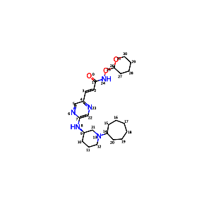 O=C(C=Cc1cnc(N[C@@H]2CCCN(C3CCCCCC3)C2)cn1)NOC1CCCCO1